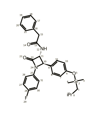 CC(C)C[Si](C)(C)Oc1ccc([C@@H]2[C@@H](NC(=O)Cc3ccccc3)C(=O)N2c2ccc(F)cc2)cc1